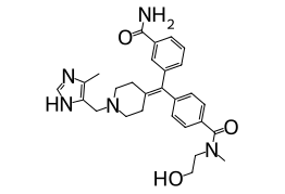 Cc1nc[nH]c1CN1CCC(=C(c2ccc(C(=O)N(C)CCO)cc2)c2cccc(C(N)=O)c2)CC1